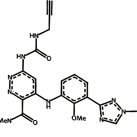 C#CCNC(=O)Nc1cc(Nc2cccc(-c3ncn(C)n3)c2OC)c(C(=O)NC)nn1